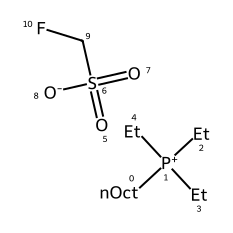 CCCCCCCC[P+](CC)(CC)CC.O=S(=O)([O-])CF